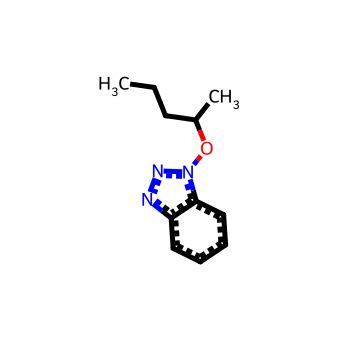 CCCC(C)On1nnc2ccccc21